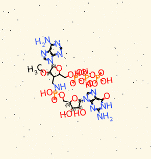 CO[C@@H]1C(CNP(=O)(O)OC[C@H]2O[C@@H](n3cnc4c(=O)[nH]c(N)nc43)[C@H](O)[C@@H]2O)C(COP(=O)(O)OP(=O)(O)OP(=O)(O)O)O[C@H]1n1cnc2c(N)ncnc21